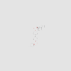 CCCCC(CC)OC1CCC(C2CCC(OC3CCC(C)CC3)CC2)CC1